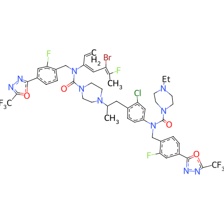 C=C/C(=C\C(Br)=C(/C)F)N(Cc1ccc(-c2nnc(C(F)(F)F)o2)cc1F)C(=O)N1CCN(C(C)Cc2ccc(N(Cc3ccc(-c4nnc(C(F)(F)F)o4)cc3F)C(=O)N3CCN(CC)CC3)cc2Cl)CC1